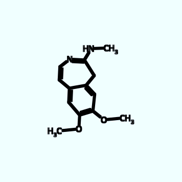 CNC1=NC=Cc2cc(OC)c(OC)cc2C1